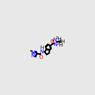 [2H]C([2H])([2H])c1noc(-c2ccc3c(c2)CC[C@H]3NC(=O)c2cnn(C)c2)n1